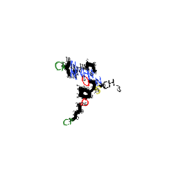 Cc1nc(C(=O)N2CCC[C@H]2CNc2ncc(Cl)cn2)c(-c2cccc(OCCCCCl)c2)s1